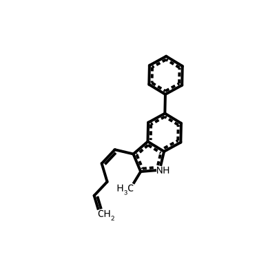 C=CC/C=C\c1c(C)[nH]c2ccc(-c3ccccc3)cc12